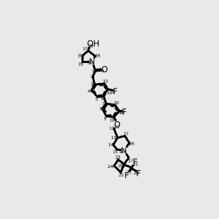 O=C(Cc1ccc(-c2ccc(OCC3CCN(CC4(C(F)(F)F)CCC4)CC3)c(F)c2)c(F)c1)N1CCC(O)C1